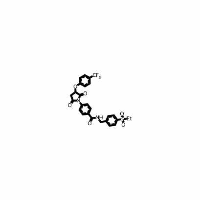 CCS(=O)(=O)c1ccc(CNC(=O)c2ccc(N3C(=O)CC(Oc4ccc(C(F)(F)F)cc4)C3=O)cc2)cc1